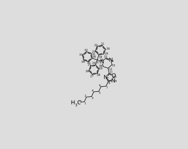 CCCCCCCCc1noc(C2CN=CN(C(c3ccccc3)(c3ccccc3)c3ccccc3)C2)n1